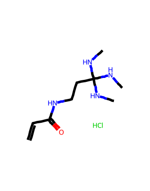 C=CC(=O)NCCC(NC)(NC)NC.Cl